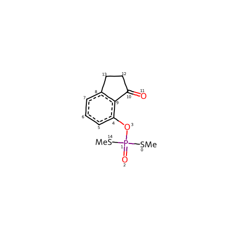 CSP(=O)(Oc1cccc2c1C(=O)CC2)SC